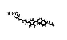 C=CCOc1ccc2nc(-c3ccc(C=CCCCC(C)OCCCCC)c(F)c3F)cnc2c1